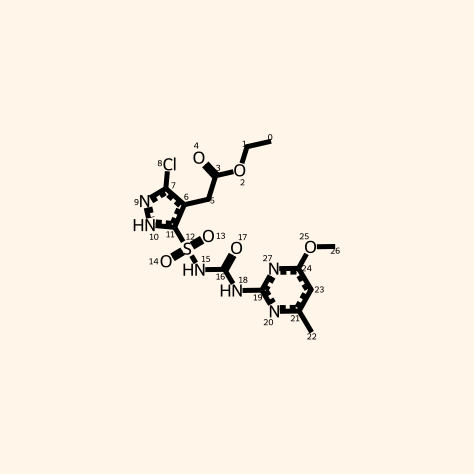 CCOC(=O)Cc1c(Cl)n[nH]c1S(=O)(=O)NC(=O)Nc1nc(C)cc(OC)n1